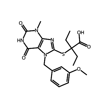 CCC(CC)(Sc1nc2c(c(=O)[nH]c(=O)n2C)n1Cc1cccc(OC)c1)C(=O)O